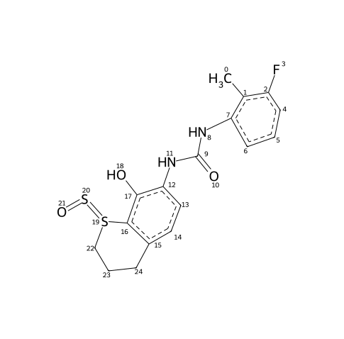 Cc1c(F)cccc1NC(=O)Nc1ccc2c(c1O)S(=S=O)CCC2